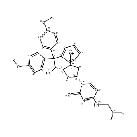 COc1ccc(C(c2ccccc2)(c2ccc(OC)cc2)C(O)[C@H]2O[C@@H](n3ccc(NCC(C)C)nc3=O)C[C@@H]2O)cc1